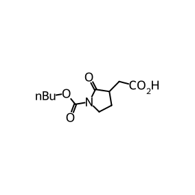 CCCCOC(=O)N1CCC(CC(=O)O)C1=O